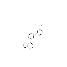 CN(C)c1cccc(-c2cccc(-c3ccnc4[c]cnn34)c2)c1